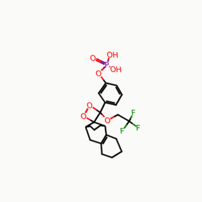 O=P(O)(O)Oc1cccc(C2(OCC(F)(F)F)OOC23C2CCCC3C3=C(CCCC3)C2)c1